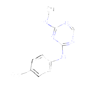 N#CNc1n[c]nc(Nc2ccc(S(=O)(=O)O)cc2)n1